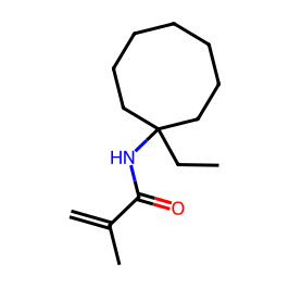 C=C(C)C(=O)NC1(CC)CCCCCCC1